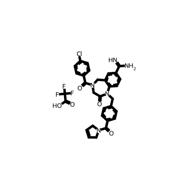 N=C(N)c1ccc2c(c1)CN(C(=O)c1ccc(Cl)cc1)CC(=O)N2Cc1ccc(C(=O)N2CC=CC2)cc1.O=C(O)C(F)(F)F